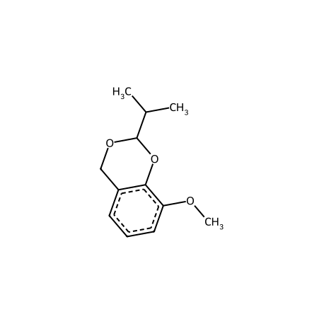 COc1cccc2c1OC(C(C)C)OC2